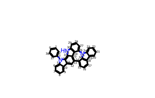 c1ccc(-n2c3ccccc3c3cc4c5cccc6c7ccccc7n(c7cccc8[nH]c(c4c87)c32)c56)cc1